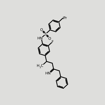 CC(C)c1ccc(S(=O)(=O)Nc2ccc(C(C)CC(=N)Cc3ccccc3)cc2F)cc1